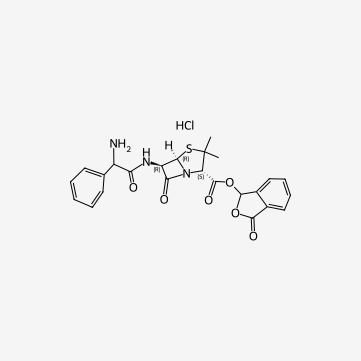 CC1(C)S[C@@H]2[C@H](NC(=O)C(N)c3ccccc3)C(=O)N2[C@H]1C(=O)OC1OC(=O)c2ccccc21.Cl